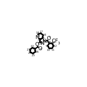 O=C(Oc1nn(C(=O)c2ccccc2C(F)(F)F)c2cccnc12)c1ccccc1